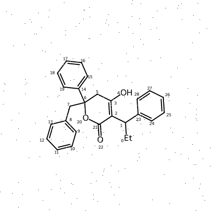 CCC(C1=C(O)CC(Cc2ccccc2)(c2ccccc2)OC1=O)c1ccccc1